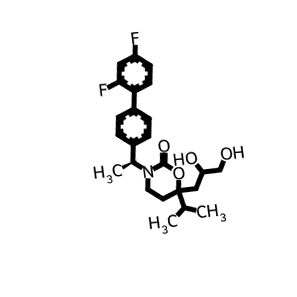 CC(C)C1(CC(O)CO)CCN([C@@H](C)c2ccc(-c3ccc(F)cc3F)cc2)C(=O)O1